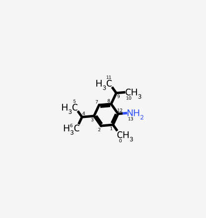 Cc1cc(C(C)C)cc(C(C)C)c1N